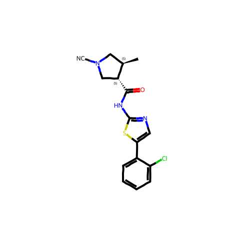 C[C@@H]1CN(C#N)C[C@H]1C(=O)Nc1ncc(-c2ccccc2Cl)s1